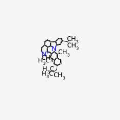 Cc1c2cc(CC(C)(C)C)ccc2c(C)c2c1c1c3c(ccc4c5ccc(C(C)C)cc5n2c43)cc[n+]1C